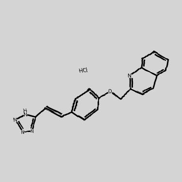 C(=C\c1nnn[nH]1)/c1ccc(OCc2ccc3ccccc3n2)cc1.Cl